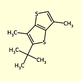 Cc1csc2c(C)c(C(C)(C)C)sc12